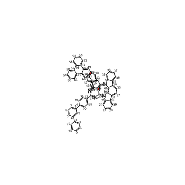 c1ccc(-c2cccc(-c3ccc(-c4nc(-c5ccccc5)nc(-n5c6ccccc6c6ccc7c8ccccc8n(-c8cccc(-c9ccc%10c%11ccccc%11c%11ccccc%11c%10c9)c8)c7c65)n4)cc3)c2)cc1